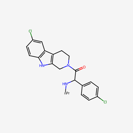 CCCNC(C(=O)N1CCc2c([nH]c3ccc(Cl)cc23)C1)c1ccc(Cl)cc1